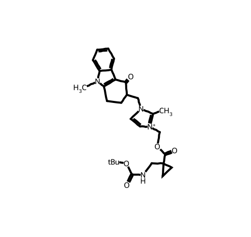 Cc1n(CC2CCc3c(c4ccccc4n3C)C2=O)cc[n+]1COC(=O)C1(CNC(=O)OC(C)(C)C)CC1